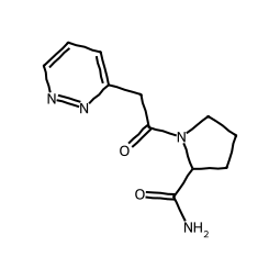 NC(=O)C1CCCN1C(=O)Cc1cccnn1